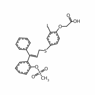 CS(=O)(=O)Oc1ccccc1C(=CCSc1ccc(OCC(=O)O)c(I)c1)c1ccccc1